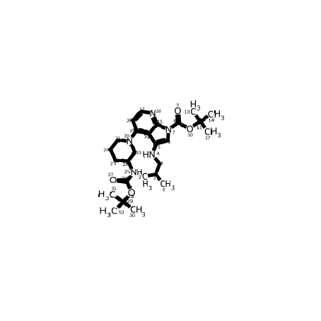 CC(C)CNc1cn(C(=O)OC(C)(C)C)c2nccc(N3CCCC(NC(=O)OC(C)(C)C)C3)c12